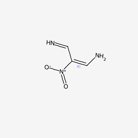 N=C/C(=C\N)[N+](=O)[O-]